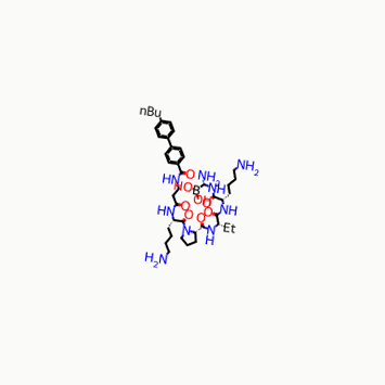 CCCCc1ccc(-c2ccc(C(=O)NCCC(=O)N[C@@H](CCCCN)C(=O)N3CCC[C@H]3C(=O)N[C@@H](CC)C(=O)N[C@@H](CCCCN)C(=O)N[C@@H](N)B(O)O)cc2)cc1